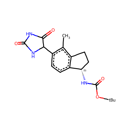 Cc1c(C2NC(=O)NC2=O)ccc2c1CC[C@@H]2NC(=O)OC(C)(C)C